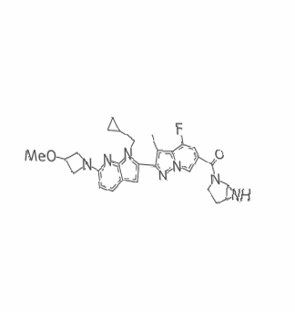 COC1CN(c2ccc3cc(-c4nn5cc(C(=O)N6CCC7NC76)cc(F)c5c4C)n(CC4CC4)c3n2)C1